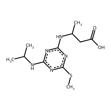 CSc1nc(NC(C)C)nc(NC(C)CC(=O)O)n1